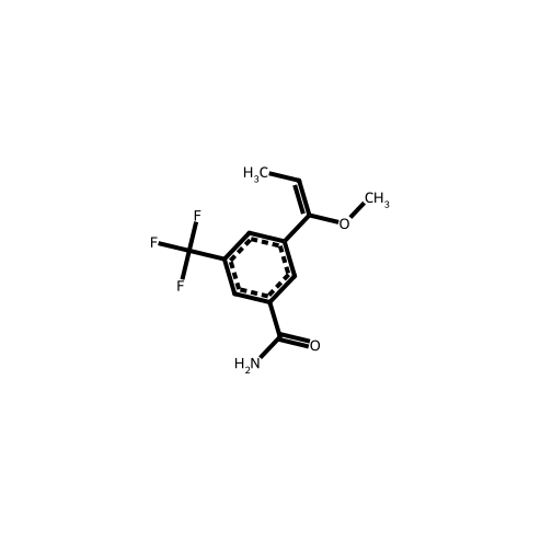 C/C=C(/OC)c1cc(C(N)=O)cc(C(F)(F)F)c1